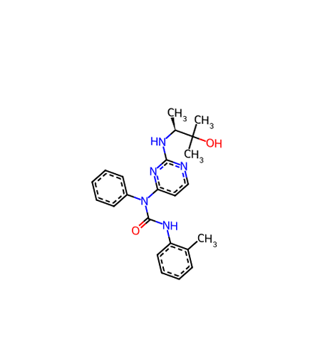 Cc1ccccc1NC(=O)N(c1ccccc1)c1ccnc(N[C@@H](C)C(C)(C)O)n1